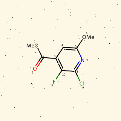 COC(=O)c1cc(OC)nc(Cl)c1F